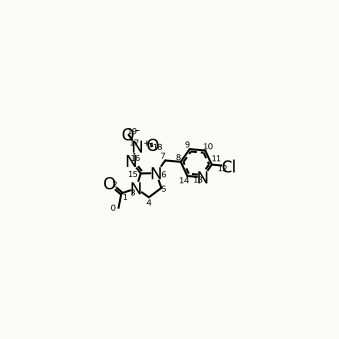 CC(=O)N1CCN(Cc2ccc(Cl)nc2)/C1=N\[N+](=O)[O-]